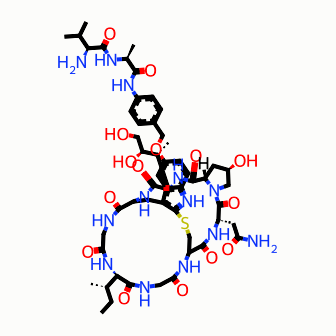 CC[C@H](C)[C@@H]1NC(=O)CNC(=O)C2Cc3c([nH]c4ccc(OCc5ccc(NC(=O)[C@H](C)NC(=O)[C@@H](N)C(C)C)cc5)cc34)SCC(NC(=O)CNC1=O)C(=O)N[C@@H](CC(N)=O)C(=O)N1C[C@H](O)C[C@H]1C(=O)N[C@@H]([C@@H](C)[C@@H](O)CO)C(=O)N2